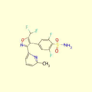 Cc1cccc(-c2noc(C(F)F)c2-c2cc(F)c(S(N)(=O)=O)c(F)c2)n1